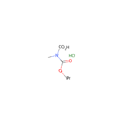 CC(C)OC(=O)N(C)C(=O)O.Cl